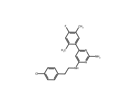 Cc1cc(-c2cc(NCCc3ccc(Cl)cc3)nc(N)n2)c(C)cc1F